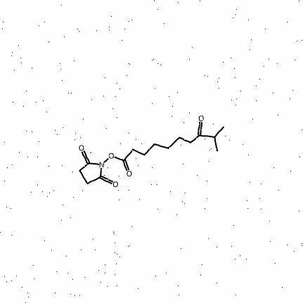 CC(C)C(=O)CCCCCCC(=O)ON1C(=O)CCC1=O